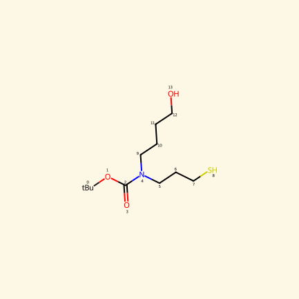 CC(C)(C)OC(=O)N(CCCS)CCCCO